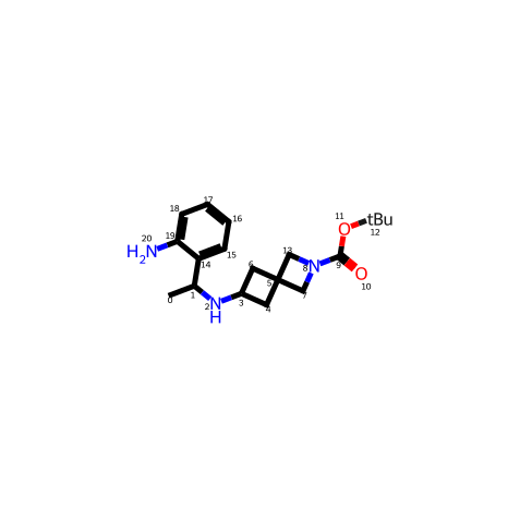 CC(NC1CC2(C1)CN(C(=O)OC(C)(C)C)C2)c1ccccc1N